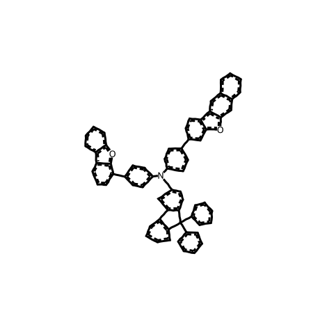 c1ccc(C2(c3ccccc3)c3ccccc3-c3cc(N(c4ccc(-c5ccc6c(c5)oc5cc7ccccc7cc56)cc4)c4ccc(-c5cccc6c5oc5ccccc56)cc4)ccc32)cc1